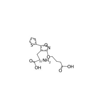 N[C@@H](Cc1c(OCCCC(=O)O)noc1-c1cccs1)C(=O)O